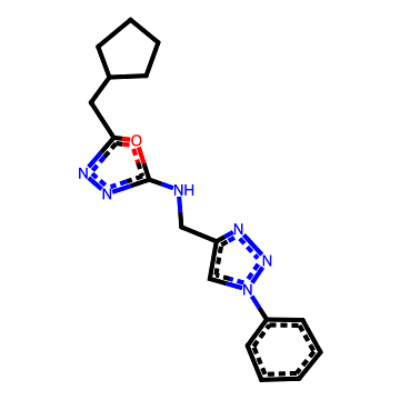 c1ccc(-n2cc(CNc3nnc(CC4CCCC4)o3)nn2)cc1